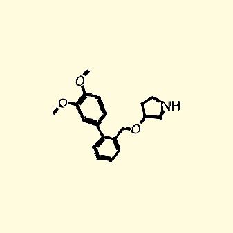 COc1ccc(-c2ccccc2COC2CCNC2)cc1OC